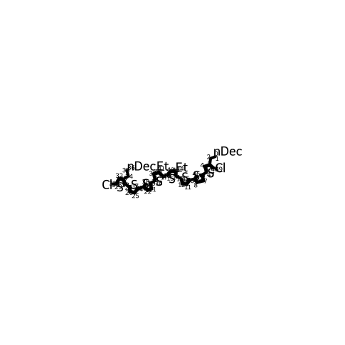 CCCCCCCCCCCCc1cc(-c2ccc(-c3ccc(-c4sc(-c5sc(-c6ccc(-c7ccc(-c8sc(Cl)cc8CCCCCCCCCCCC)s7)s6)cc5CC)cc4CC)s3)s2)sc1Cl